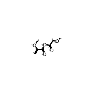 C=C(OC)C(=O)OC(=O)COC